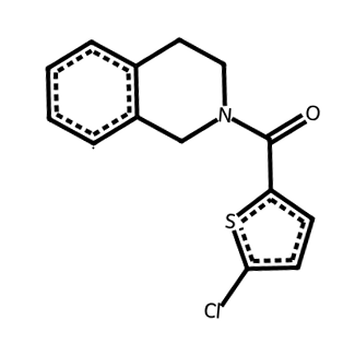 O=C(c1ccc(Cl)s1)N1CCc2ccc[c]c2C1